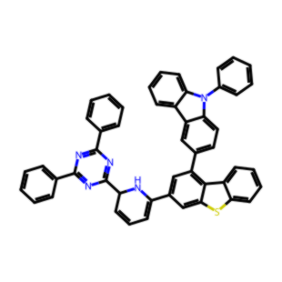 C1=CC(c2nc(-c3ccccc3)nc(-c3ccccc3)n2)NC(c2cc(-c3ccc4c(c3)c3ccccc3n4-c3ccccc3)c3c(c2)sc2ccccc23)=C1